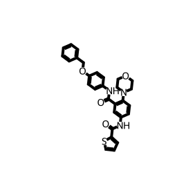 O=C(Nc1ccc(N2CCOCC2)c(C(=O)Nc2ccc(OCc3ccccc3)cc2)c1)c1cccs1